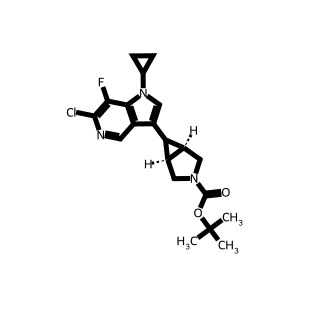 CC(C)(C)OC(=O)N1C[C@@H]2C(c3cn(C4CC4)c4c(F)c(Cl)ncc34)[C@@H]2C1